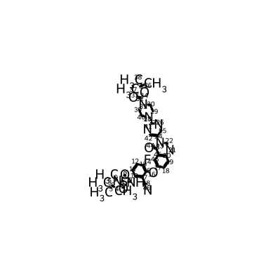 CN(C(C)(C)C)S(=O)(=O)Nc1ccc(F)c(Oc2ccc3ncn(-c4cnc(N5CCN(C(=O)OC(C)(C)C)CC5)nc4)c(=O)c3c2)c1C#N